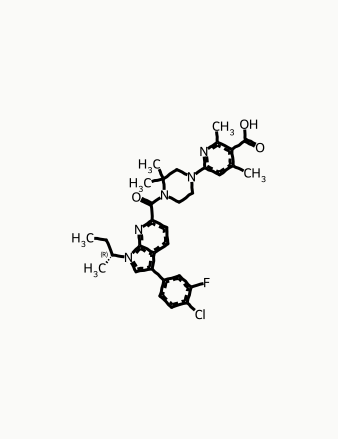 CC[C@@H](C)n1cc(-c2ccc(Cl)c(F)c2)c2ccc(C(=O)N3CCN(c4cc(C)c(C(=O)O)c(C)n4)CC3(C)C)nc21